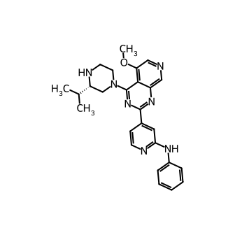 COc1cncc2nc(-c3ccnc(Nc4ccccc4)c3)nc(N3CCN[C@@H](C(C)C)C3)c12